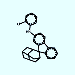 Clc1ccccc1Nc1ccc2c(c1)C1(c3ccccc3-2)C2CC3CC(C2)CC1C3